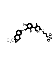 Cc1cc(OCCCS(C)(=O)=O)ncc1-c1ccc(F)c(COc2ccc3c(c2)CC2CC2(C(=O)O)C3)c1F